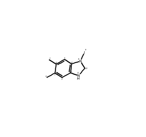 Cc1cc2c(cc1C)N(I)CN2